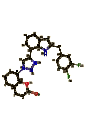 O=c1ccc2cccc(-n3cc(-c4cccc5cc(Cc6ccc(F)c(F)c6)[nH]c45)nn3)c2o1